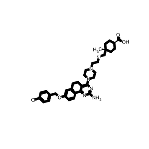 C[C@]1(COCCN2CCN(c3nc(N)nc4c3CCc3cc(OCc5ccc(Cl)cc5)ccc3-4)CC2)CC[C@H](C(=O)O)CC1